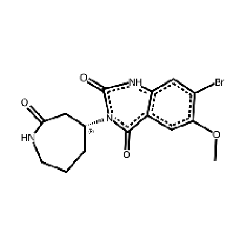 COc1cc2c(=O)n([C@@H]3CCCNC(=O)C3)c(=O)[nH]c2cc1Br